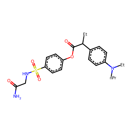 CCCN(CC)c1ccc(C(CC)C(=O)Oc2ccc(S(=O)(=O)NCC(N)=O)cc2)cc1